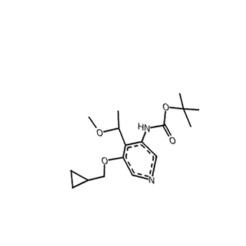 COC(C)c1c(NC(=O)OC(C)(C)C)cncc1OCC1CC1